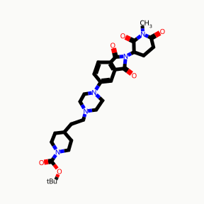 CN1C(=O)CCC(N2C(=O)c3ccc(N4CCN(CCC5CCN(C(=O)OC(C)(C)C)CC5)CC4)cc3C2=O)C1=O